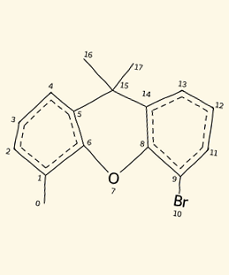 Cc1cccc2c1Oc1c(Br)cccc1C2(C)C